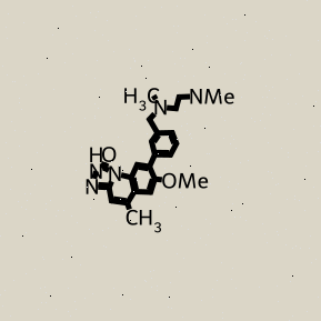 CNCCN(C)Cc1cccc(-c2cc3c(cc2OC)c(C)cc2n[nH]c(=O)n23)c1